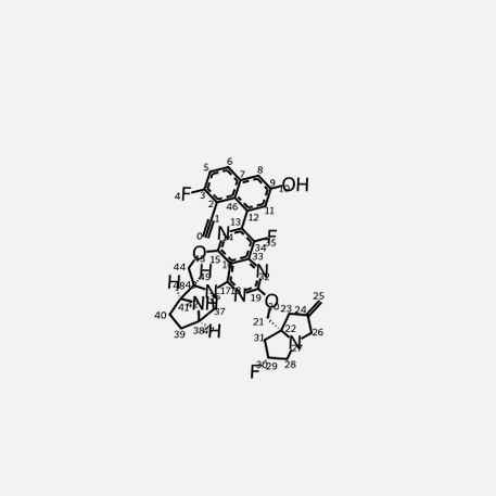 C#Cc1c(F)ccc2cc(O)cc(-c3nc4c5c(nc(OC[C@]67CC(=C)CN6C[C@H](F)C7)nc5c3F)N3C[C@H]5CC[C@H](N5)[C@H]3CO4)c12